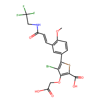 COc1ccc(-c2sc(C(=O)O)c(OCC(=O)O)c2Br)cc1C=CC(=O)NCC(F)(F)F